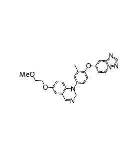 COCCOc1ccc2c(c1)C=NCN2c1ccc(Oc2ccn3ncnc3c2)c(C)c1